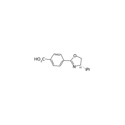 CC(C)[C@H]1COC(c2ccc(C(=O)O)cc2)=N1